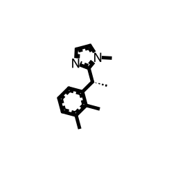 Cc1cccc([C@@H](C)c2nccn2C)c1C